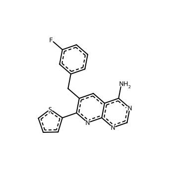 Nc1ncnc2nc(-c3cccs3)c(Cc3cccc(F)c3)cc12